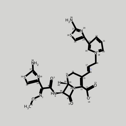 CON=C(C(=O)N[C@@H]1C(=O)N2C(C(=O)[O-])=C(/C=C/C[n+]3cccc(-c4csc(N)n4)c3)CS[C@@H]12)c1csc(N)n1